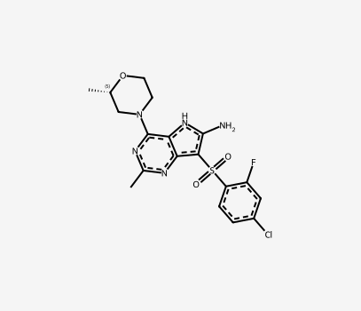 Cc1nc(N2CCO[C@@H](C)C2)c2[nH]c(N)c(S(=O)(=O)c3ccc(Cl)cc3F)c2n1